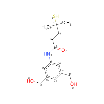 CC(C)(S)CCC(=O)Nc1cc(CO)cc(CO)c1